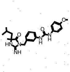 COc1ccc(NC(=O)Nc2cccc(CN3C(=N)NC(C)(CC(C)C)C3=O)c2)cc1